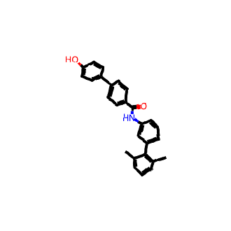 Cc1cccc(C)c1-c1cccc(NC(=O)c2ccc(-c3ccc(O)cc3)cc2)c1